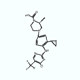 C[C@H]1CN(c2ccc(Nc3ncc(C(F)(F)F)c(Cl)n3)c(C3CC3)c2)CCN1C(=O)O